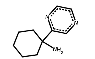 NC1(c2cnccn2)CCCCC1